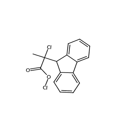 CC(Cl)(C(=O)OCl)C1c2ccccc2-c2ccccc21